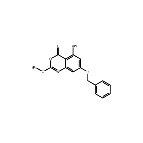 CCCc1cc(OCc2ccccc2)cc2nc(OC(C)C)oc(=O)c12